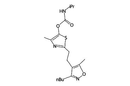 CCCCc1noc(C)c1CCc1nc(C)c(OC(=O)NC(C)C)s1